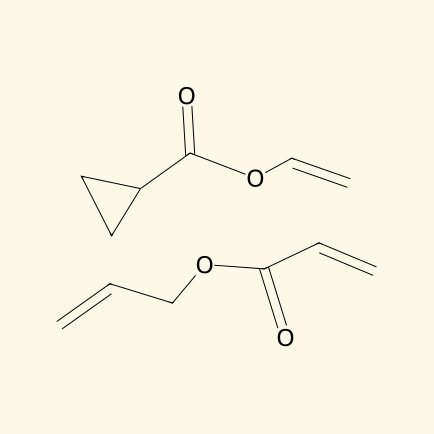 C=CCOC(=O)C=C.C=COC(=O)C1CC1